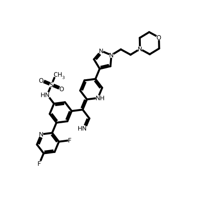 CS(=O)(=O)Nc1cc(/C(C=N)=C2\C=CC(c3cnn(CCN4CCOCC4)c3)=CN2)cc(-c2ncc(F)cc2F)c1